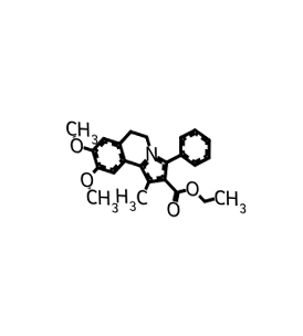 CCOC(=O)c1c(C)c2n(c1-c1ccccc1)CCc1cc(OC)c(OC)cc1-2